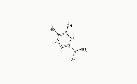 CCC(N)c1ccc(O)c(O)c1